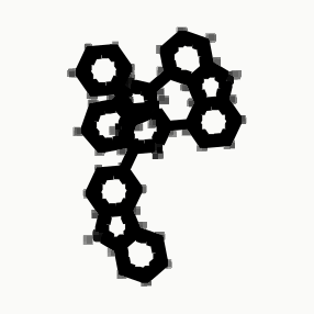 c1ccc(-c2nc(-c3ccc4oc5ccccc5c4c3)nc(-c3cccc4sc5cccc(-c6nc7ccccc7o6)c5c34)n2)cc1